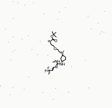 CN/C(=N\C=C\C(F)(F)F)N[C@H]1CC[C@H](N(C)CCOCCN(C)C(=O)OC(C)(C)C)C1